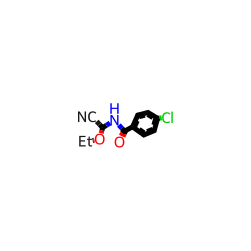 CCOC(C#N)NC(=O)c1ccc(Cl)cc1